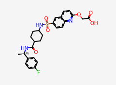 C[C@@H](NC(=O)C1CCC(NS(=O)(=O)c2ccc3nc(OCC(=O)O)ccc3c2)CC1)c1ccc(F)cc1